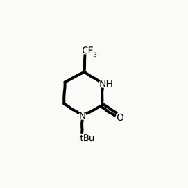 CC(C)(C)N1CCC(C(F)(F)F)NC1=O